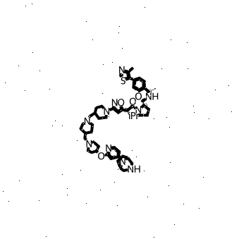 Cc1ncsc1-c1ccc([C@H](C)NC(=O)[C@@H]2CCCN2C(=O)[C@@H](c2cc(N3CCC(CN4CCC(CN5CCC(Oc6cc(N7C8CCC7CNC8)ccn6)CC5)CC4)CC3)no2)C(C)C)cc1